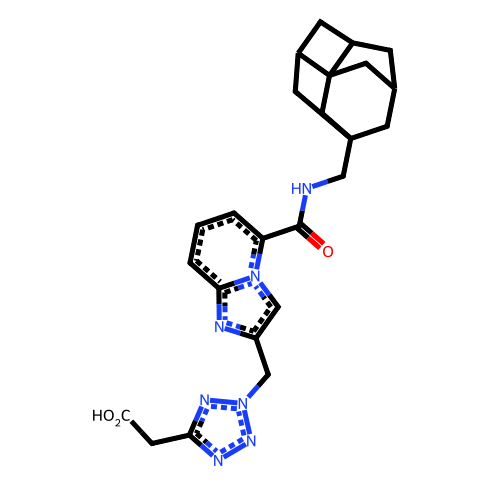 O=C(O)Cc1nnn(Cc2cn3c(C(=O)NCC45CC6CC7CC(C4)C7(C6)C5)cccc3n2)n1